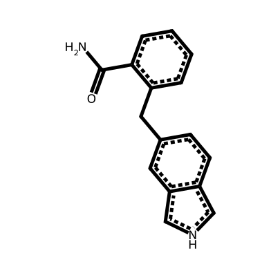 NC(=O)c1ccccc1Cc1ccc2c[nH]cc2c1